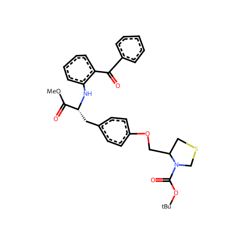 COC(=O)[C@@H](Cc1ccc(OCC2CSCN2C(=O)OC(C)(C)C)cc1)Nc1ccccc1C(=O)c1ccccc1